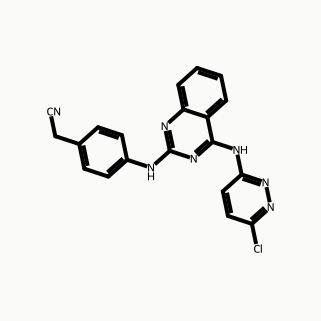 N#CCc1ccc(Nc2nc(Nc3ccc(Cl)nn3)c3ccccc3n2)cc1